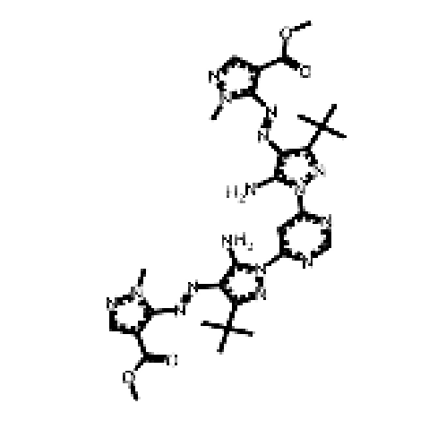 COC(=O)c1cnn(C)c1/N=N/c1c(C(C)(C)C)nn(-c2cc(-n3nc(C(C)(C)C)c(/N=N/c4c(C(=O)OC)cnn4C)c3N)ncn2)c1N